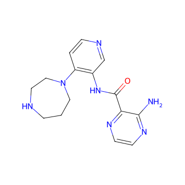 Nc1nccnc1C(=O)Nc1cnccc1N1CCCNCC1